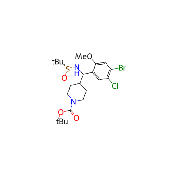 COc1cc(Br)c(Cl)cc1C(N[S@@+]([O-])C(C)(C)C)C1CCN(C(=O)OC(C)(C)C)CC1